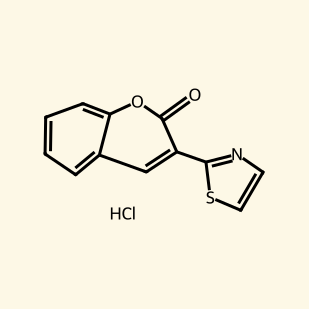 Cl.O=c1oc2ccccc2cc1-c1nccs1